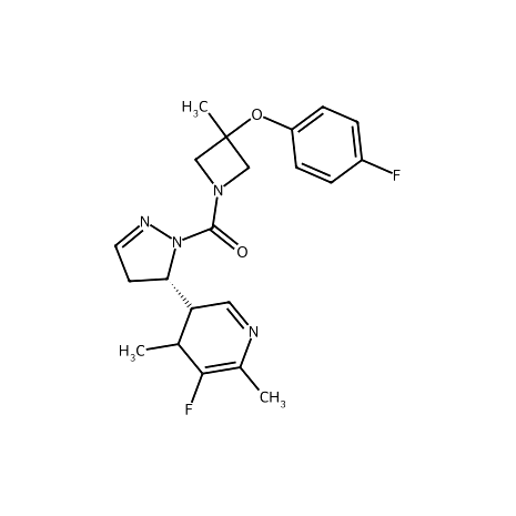 CC1=C(F)C(C)C([C@@H]2CC=NN2C(=O)N2CC(C)(Oc3ccc(F)cc3)C2)C=N1